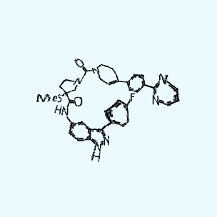 CS[C@@]1(C(=O)Nc2ccc3[nH]nc(-c4ccc(F)cc4)c3c2)CCN(C(=O)N2CC=C(c3ccc(-c4ncccn4)cc3)CC2)C1